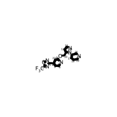 FC(F)(F)c1nc(-c2ccnc(OCc3ccnn3-c3cccnc3)c2)no1